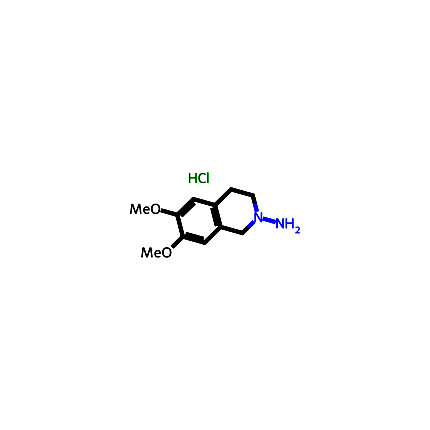 COc1cc2c(cc1OC)CN(N)CC2.Cl